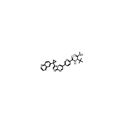 CNC(=O)[C@H](NC(=O)c1ccc(-c2cnc3ncc(C4(c5ccc6ncccc6c5)CC4)n3c2)cn1)C(C)(C)C